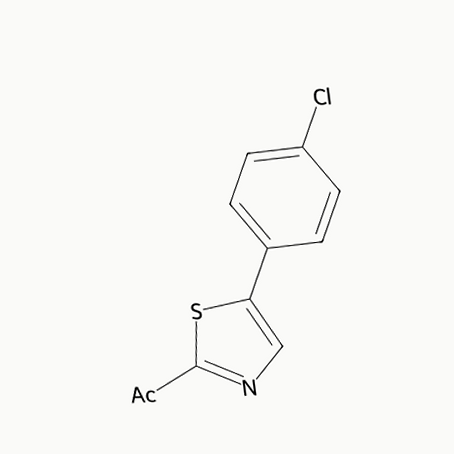 CC(=O)c1ncc(-c2ccc(Cl)cc2)s1